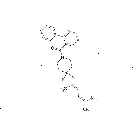 N/C(=C\C=C(/N)C(F)(F)F)CC1(F)CCN(C(=O)c2cccnc2-c2ccncc2)CC1